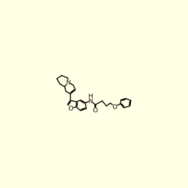 O=C(CCCOc1ccccc1)Nc1ccc2occ(C3=CCN4CCCCC4C3)c2c1